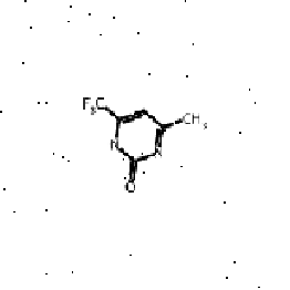 CC1=NC(=O)[N]C(C(F)(F)F)=[C]1